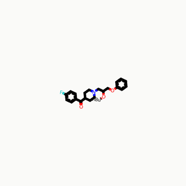 CCCCOC(COc1ccccc1)CN1CCC(C(=O)c2ccc(F)cc2)CC1